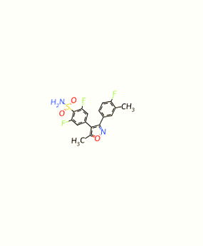 Cc1cc(-c2noc(C)c2-c2cc(F)c(S(N)(=O)=O)c(F)c2)ccc1F